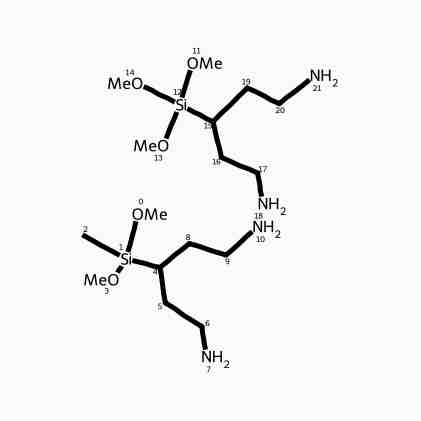 CO[Si](C)(OC)C(CCN)CCN.CO[Si](OC)(OC)C(CCN)CCN